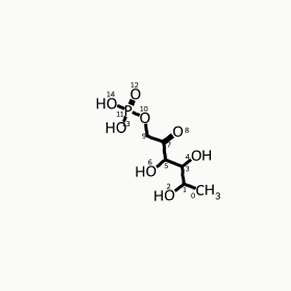 CC(O)C(O)C(O)C(=O)COP(=O)(O)O